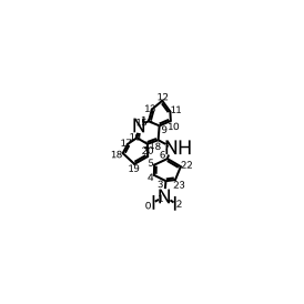 IN(I)c1ccc(Nc2c3ccccc3nc3ccccc23)cc1